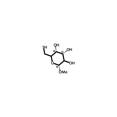 CO[C@@H]1OC(CS)[C@H](O)[C@H](O)C1O